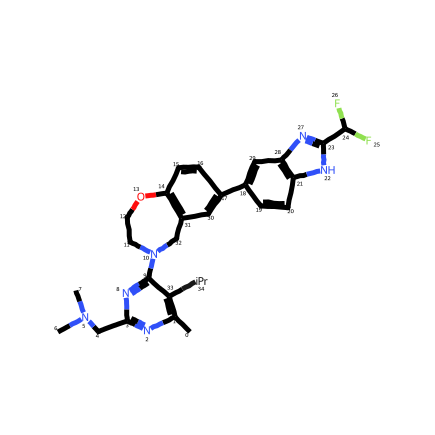 Cc1nc(CN(C)C)nc(N2CCOc3ccc(-c4ccc5[nH]c(C(F)F)nc5c4)cc3C2)c1C(C)C